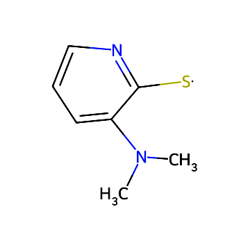 CN(C)c1cccnc1[S]